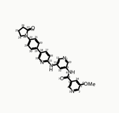 COc1cncc(C(=O)Nc2cncc(Nc3ccc(-c4ccc(N5CCCC5=O)cc4)cn3)c2)c1